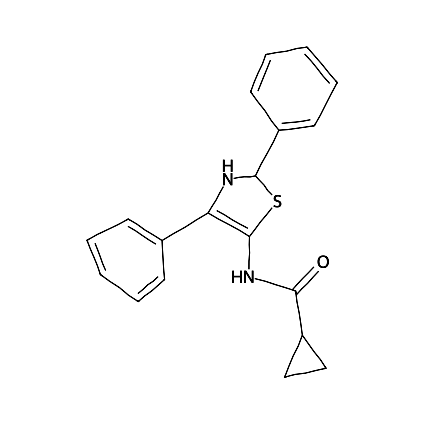 O=C(NC1=C(c2ccccc2)NC(c2ccccc2)S1)C1CC1